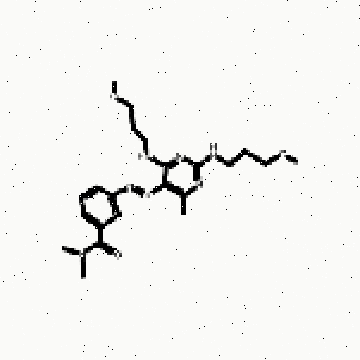 COCCCNc1nc(C)c(N=Nc2cccc(C(=O)N(C)C)c2)c(NCCCOC)n1